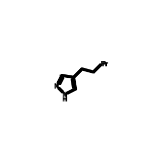 CC(C)CCc1[c]n[nH]c1